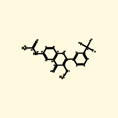 COc1c(-c2cccc(C(F)(F)F)c2)oc2ccc(NC(C)=O)cc2c1=O